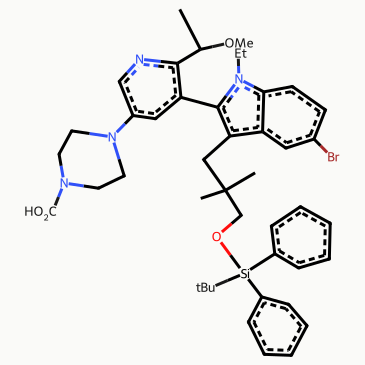 CCn1c(-c2cc(N3CCN(C(=O)O)CC3)cnc2C(C)OC)c(CC(C)(C)CO[Si](c2ccccc2)(c2ccccc2)C(C)(C)C)c2cc(Br)ccc21